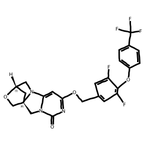 O=c1nc(OCc2cc(F)c(Oc3ccc(C(F)(F)F)cc3)c(F)c2)cc2n1C[C@]13CO[C@H](CN21)C3